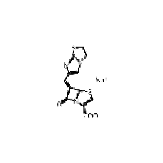 O=C([O-])C1=CSC2/C(=C\c3cn4c(n3)SCC4)C(=O)N12.[Na+]